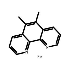 Cc1c(C)c2cccnc2c2ncccc12.[Fe]